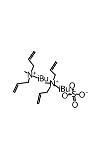 C=CC[N+](C)(CC=C)C(C)CC.C=CC[N+](C)(CC=C)C(C)CC.O=S(=O)([O-])[O-]